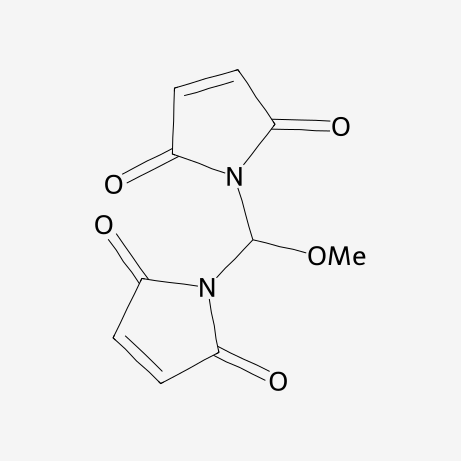 COC(N1C(=O)C=CC1=O)N1C(=O)C=CC1=O